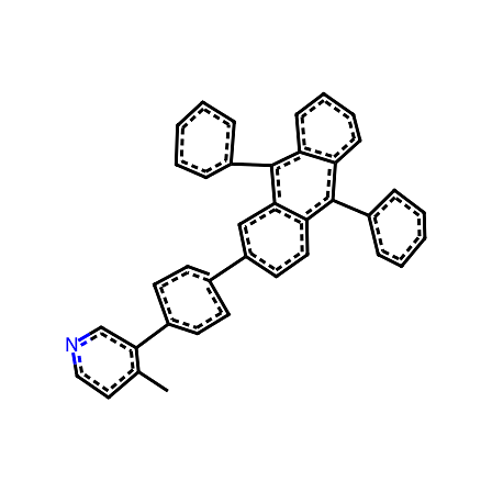 Cc1ccncc1-c1ccc(-c2ccc3c(-c4ccccc4)c4ccccc4c(-c4ccccc4)c3c2)cc1